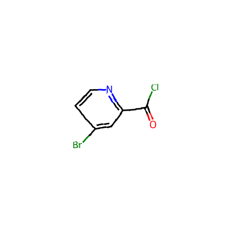 O=C(Cl)c1cc(Br)ccn1